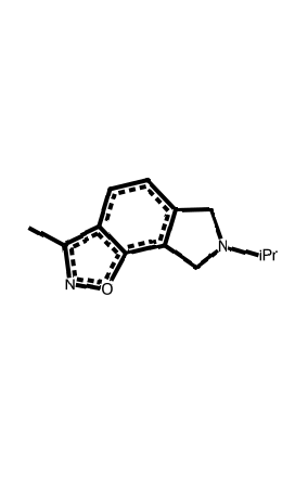 Cc1noc2c3c(ccc12)CN(C(C)C)C3